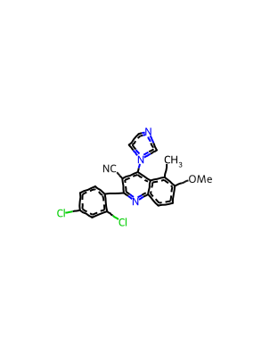 COc1ccc2nc(-c3ccc(Cl)cc3Cl)c(C#N)c(-n3ccnc3)c2c1C